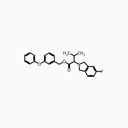 CC(C)C(C(=O)OCc1cccc(Oc2ccccc2)c1)N1Cc2ccc(F)cc2C1